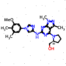 COc1cc(-n2cnc(Nc3nc(N4CCC[C@H]4CO)c4c(C)nn(C)c4n3)c2)cc(C)c1C